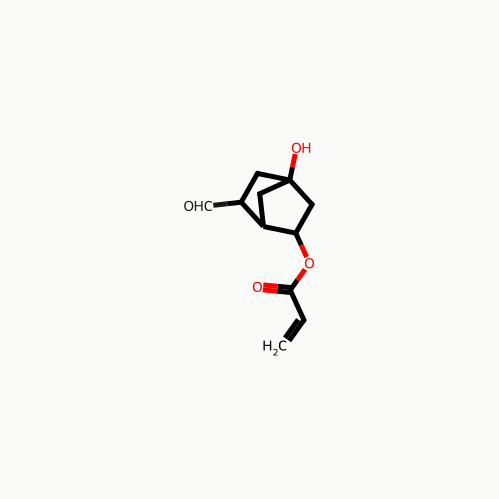 C=CC(=O)OC1CC2(O)CC(C=O)C1C2